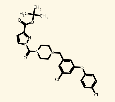 CC(C)(C)OC(=O)c1ccn(C(=O)N2CCN(Cc3cc(Cl)cc(Oc4ccc(Cl)cc4)c3)CC2)n1